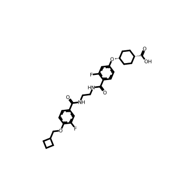 O=C(NCCNC(=O)c1ccc(O[C@H]2CC[C@@H](C(=O)O)CC2)cc1F)c1ccc(OCC2CCC2)c(F)c1